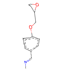 CN=Cc1ccc(OCC2CO2)cc1